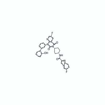 O=C(N[C@H]1CC[C@@H](n2c(=O)c3cc(F)cnc3n(-c3cccc(-c4ccccc4O)c3)c2=O)CC1)c1cn2cc(F)ccc2n1